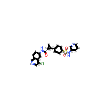 O=C(Nc1ccc2cncc(Cl)c2c1)[C@@H]1C[C@H]1c1ccc(S(=O)(=O)Nc2cccnc2)cc1